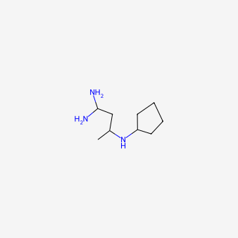 CC(CC(N)N)NC1CCCC1